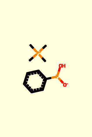 C[P+](C)(C)C.[O-]P(O)c1ccccc1